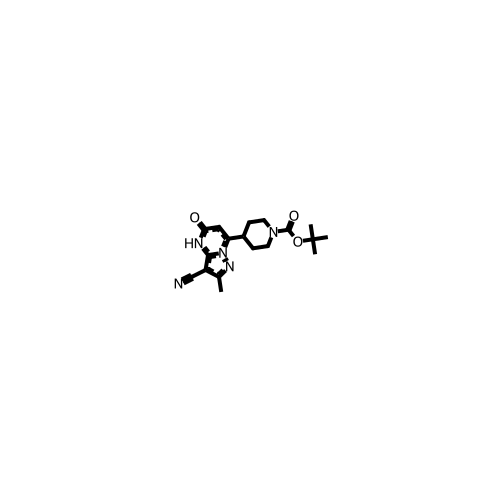 Cc1nn2c(C3CCN(C(=O)OC(C)(C)C)CC3)cc(=O)[nH]c2c1C#N